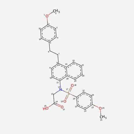 COc1ccc(CCc2ccc(N(CC(=O)O)S(=O)(=O)c3ccc(OC)cc3)c3ccccc23)cc1